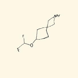 FC(F)OC1CC2(CNC2)C1